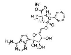 CC(C)OC(=O)C(C)(C)NP(=O)(O/C=C1/O[C@@](C)(c2ccc3c(N)ncnn23)[C@H](O)[C@@H]1O)Oc1ccccc1